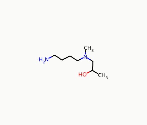 CC(O)CN(C)CCCCN